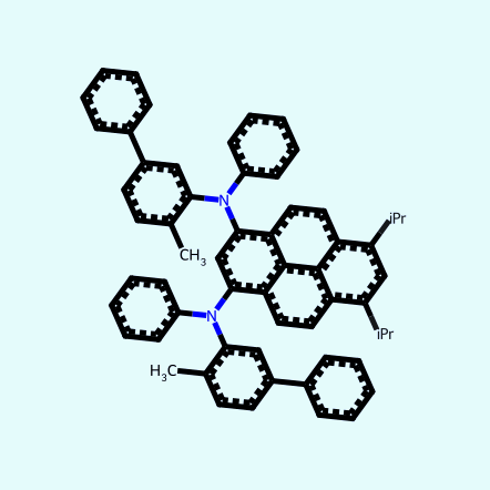 Cc1ccc(-c2ccccc2)cc1N(c1ccccc1)c1cc(N(c2ccccc2)c2cc(-c3ccccc3)ccc2C)c2ccc3c(C(C)C)cc(C(C)C)c4ccc1c2c43